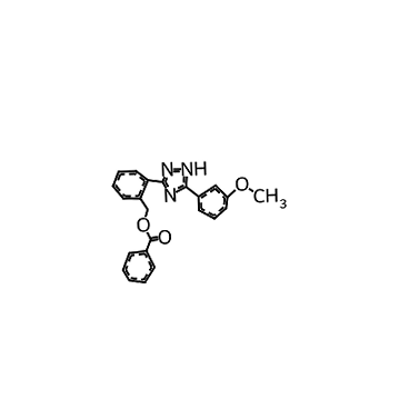 COc1cccc(-c2nc(-c3ccccc3COC(=O)c3ccccc3)n[nH]2)c1